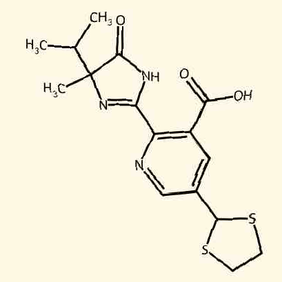 CC(C)C1(C)N=C(c2ncc(C3SCCS3)cc2C(=O)O)NC1=O